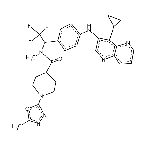 Cc1nnc(N2CCC(C(=O)N(C)[C@@H](c3ccc(Nc4cnc5cccnc5c4C4CC4)cc3)C(F)(F)F)CC2)o1